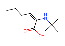 CCC/C=C(/NC(C)(C)C)C(=O)O